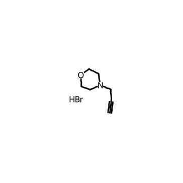 Br.C#CCN1CCOCC1